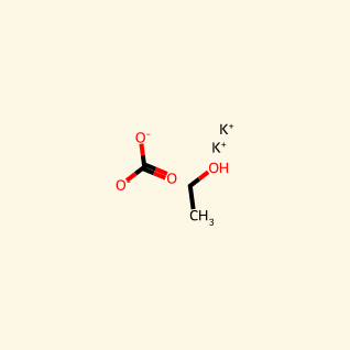 CCO.O=C([O-])[O-].[K+].[K+]